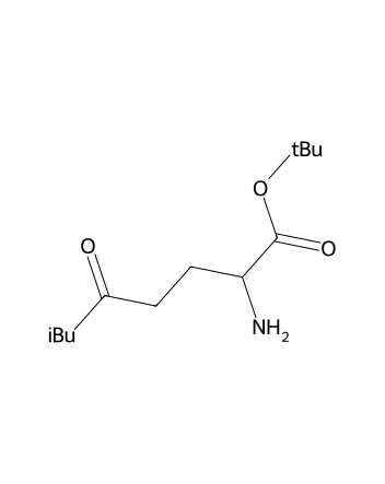 CCC(C)C(=O)CCC(N)C(=O)OC(C)(C)C